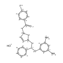 Cl.Nc1cc(N)cc(OC(CN2C=CN(CC(=O)c3ccc(F)cc3)C2)c2ccccc2)c1